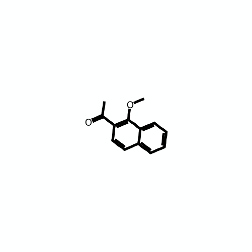 COc1c(C(C)=O)ccc2ccccc12